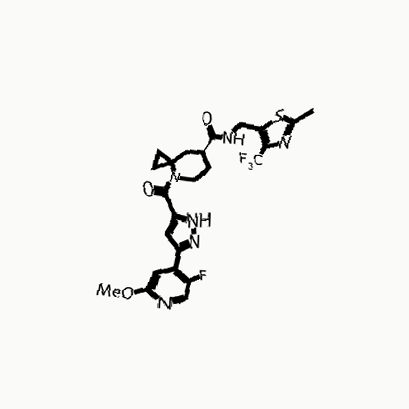 COc1cc(-c2cc(C(=O)N3CC[C@H](C(=O)NCc4sc(C)nc4C(F)(F)F)CC34CC4)[nH]n2)c(F)cn1